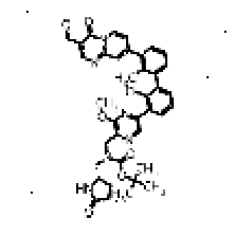 COc1nc(-c2cccc(-c3cccc(-c4ccn5c(=O)c(C=O)cnc5c4)c3C)c2Cl)cnc1CN(C[C@@H]1CCC(=O)N1)C(=O)OC(C)(C)C